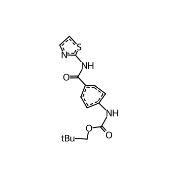 CC(C)(C)COC(=O)Nc1ccc(C(=O)Nc2nccs2)cc1